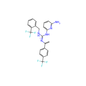 C=C(/N=C(/NCc1ccccc1C(F)(F)F)Nc1cccc(N)n1)c1ccc(C(F)(F)F)cc1